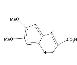 COc1cc2ncc(C(=O)O)nc2cc1OC